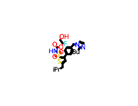 CC(C)Cc1cc(-c2ccc(Cn3ccnc3C(C)(C)C)c(F)c2)c(S(=O)(=O)NC(=O)OCCO)s1